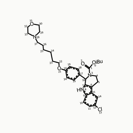 CC(C)COC(=O)N1CCc2c([nH]c3ccc(Cl)cc23)C1c1ccc(OCCCCCCN2CCOCC2)cc1